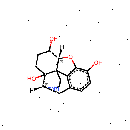 Oc1ccc2c3c1O[C@H]1C(O)CCC4(O)[C@@H](C2)NCCC314